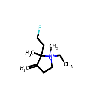 C=C1CC[N@@+](C)(CC)C1(C)CCF